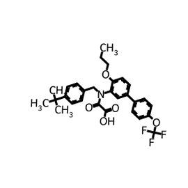 CCCOc1ccc(-c2ccc(OC(F)(F)F)cc2)cc1N(Cc1ccc(C(C)(C)C)cc1)C(=O)C(=O)O